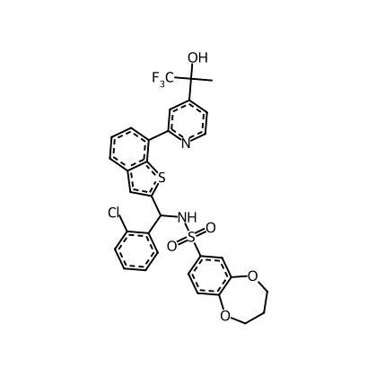 CC(O)(c1ccnc(-c2cccc3cc(C(NS(=O)(=O)c4ccc5c(c4)OCCCO5)c4ccccc4Cl)sc23)c1)C(F)(F)F